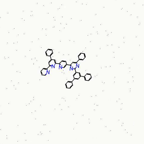 c1ccc(-c2cc(-c3ccccc3)cc(-c3nc(-c4ccccc4)cc(-c4ccc(-c5cc(-c6ccccc6)cc(-c6ccccn6)n5)nc4)n3)c2)cc1